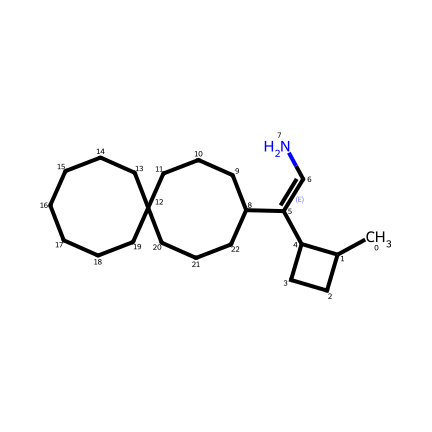 CC1CCC1/C(=C/N)C1CCCC2(CCCCCCC2)CCC1